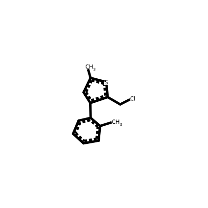 Cc1cc(-c2ccccc2C)c(CCl)s1